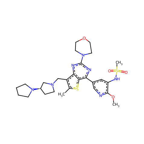 COc1ncc(-c2nc(N3CCOCC3)nc3c(CN4CC[C@@H](N5CCCC5)C4)c(C)sc23)cc1NS(C)(=O)=O